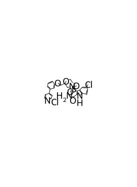 NC(=O)c1[nH]c2ccc(Cl)cc2c1S(=O)(=O)N1CCO[C@H](COc2cccc(-c3ccnc(Cl)c3)c2)C1